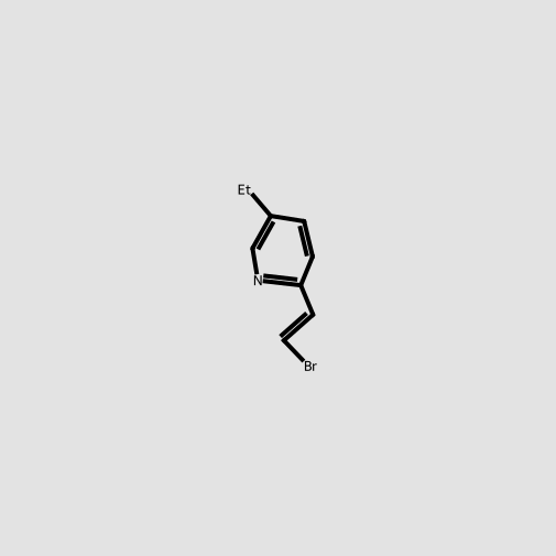 CCc1ccc(C=CBr)nc1